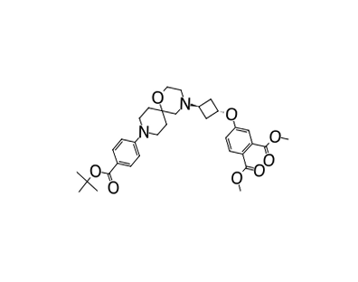 COC(=O)c1ccc(O[C@H]2C[C@H](N3CCOC4(CCN(c5ccc(C(=O)OC(C)(C)C)cc5)CC4)C3)C2)cc1C(=O)OC